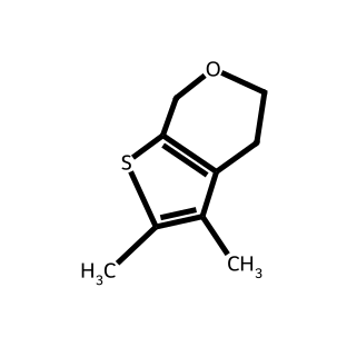 Cc1sc2c(c1C)CCOC2